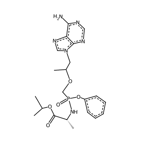 CC(C)OC(=O)[C@@H](C)NP(=O)(COC(C)Cn1cnc2c(N)ncnc21)Oc1ccccc1